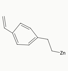 C=Cc1ccc(C[CH2][Zn])cc1